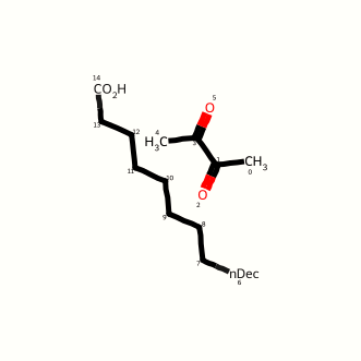 CC(=O)C(C)=O.CCCCCCCCCCCCCCCCCC(=O)O